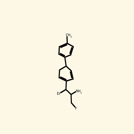 CCC(C1=CCC(c2ccc(C)cc2)C=C1)C(N)CF